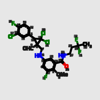 COc1c(F)cc(NCC2(C=O)C(c3ccc(F)c(Cl)c3)C2(Cl)Cl)cc1C(=O)NCCC(C)(F)F